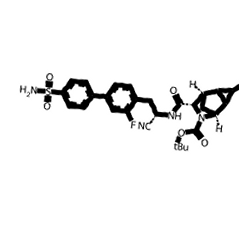 CC1C2C1[C@@H]1C[C@H]2[C@@H](C(=O)N[C@H](C#N)Cc2ccc(-c3ccc(S(N)(=O)=O)cc3)cc2F)N1C(=O)OC(C)(C)C